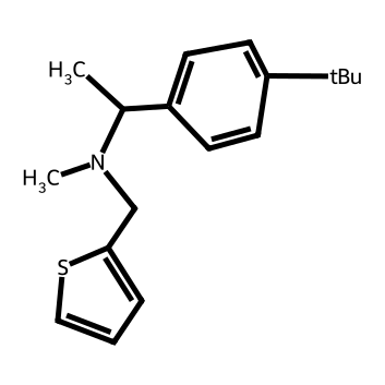 CC(c1ccc(C(C)(C)C)cc1)N(C)Cc1cccs1